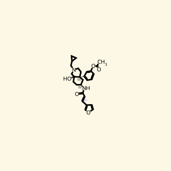 CC(=O)Oc1cccc([C@@]23CCN(CC4CC4)C[C@@]2(O)CC[C@H](NC(=O)/C=C/c2ccoc2)C3)c1